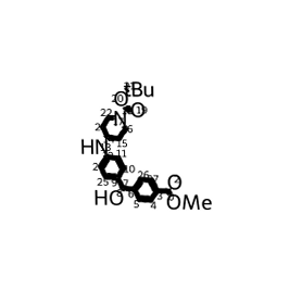 COC(=O)c1ccc(C(O)c2ccc(NC3CCN(C(=O)OC(C)(C)C)CC3)cc2)cc1